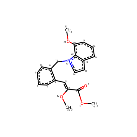 COC(=O)C(=Cc1ccccc1Cn1ccc2cccc(OC)c21)OC